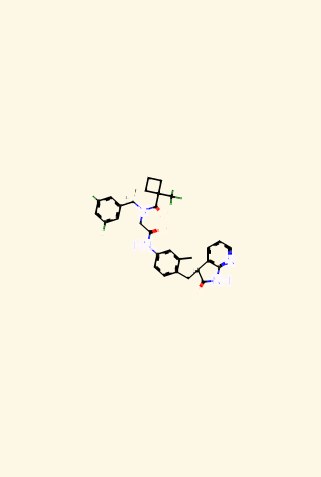 C[C@H](c1cc(F)cc(F)c1)N(CC(=O)Nc1ccc2c(c1)C[C@@]1(C2)C(=O)Nc2ncccc21)C(=O)C1(C(F)(F)F)CCC1